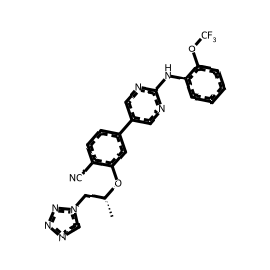 C[C@H](Cn1cnnn1)Oc1cc(-c2cnc(Nc3ccccc3OC(F)(F)F)nc2)ccc1C#N